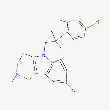 Cc1cc(Cl)ccc1C(C)(C)Cn1c2c(c3cc(Cl)ccc31)CN(C)CC2